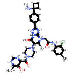 CCNC1(c2ccc(-c3nc4n(CC(=O)Nc5ccc(C(F)(F)F)cc5Cl)c(CC)c(N5CCN(C(=O)c6ncnc(C)c6O)CC5)c(=O)n4n3)cc2)CCC1